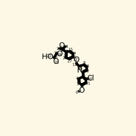 COc1ccc(-c2cccc(COc3ccc(C4(OCC(=O)O)COC4)cc3)n2)c(Cl)c1